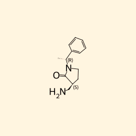 C[C@H](c1ccccc1)N1CC[C@@H](CN)C1=O